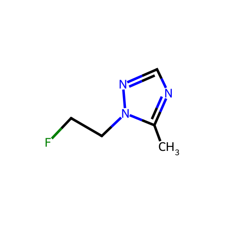 Cc1ncnn1CCF